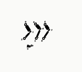 O=P[O-].O=P[O-].O=P[O-].[Re+3]